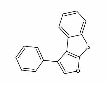 c1ccc(-c2coc3sc4ccccc4c23)cc1